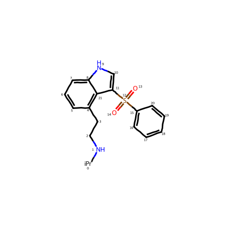 CC(C)NCCc1cccc2[nH]cc(S(=O)(=O)c3ccccc3)c12